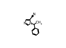 CC(c1ccccc1)n1cncc1C#N